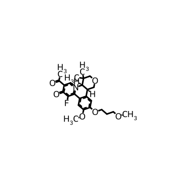 COCCCOc1cc2c(cc1OC)-c1c(F)c(=O)c(C(C)=O)cn1[C@H]1[C@@H]2COCC1(C)C